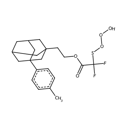 Cc1ccc(C23CC4CC(CC(CCOC(=O)C(F)(F)SOOO)(C4)C2)C3)cc1